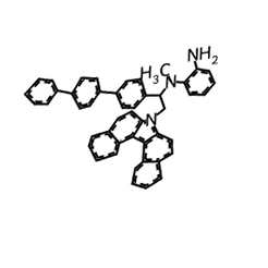 CN(c1ccccc1N)C(Cn1c2ccc3ccccc3c2c2c3ccccc3ccc21)c1ccc(-c2ccc(-c3ccccc3)cc2)cc1